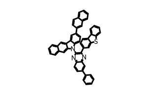 c1ccc(-c2ccc3nc(-n4c5ccc(-c6ccc7ccccc7c6)cc5c5cc6ccccc6cc54)c(-c4ccc5c(c4)sc4ccccc45)nc3c2)cc1